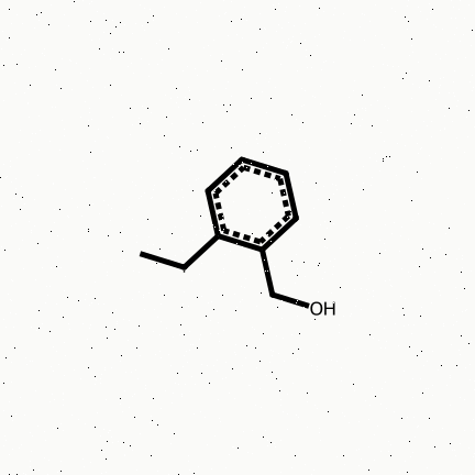 C[CH]c1ccccc1CO